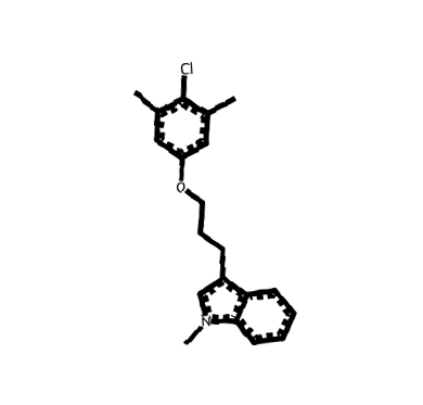 Cc1cc(OCCCc2cn(C)c3ccccc23)cc(C)c1Cl